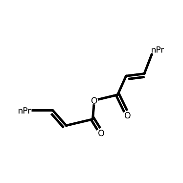 CCCC=CC(=O)OC(=O)C=CCCC